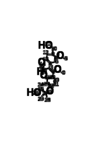 COC1=C2c3cc(OC)c(CO)cc3OC[C@H]2Oc2c1ccc1c2CC(O)C(C)(C)O1